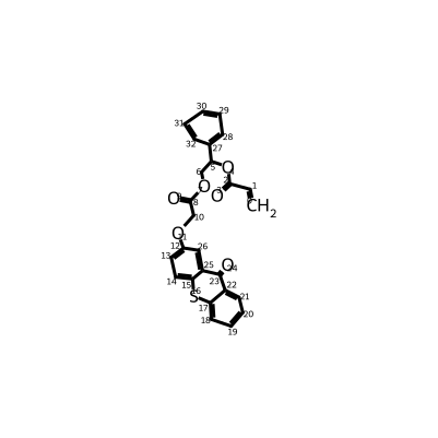 C=CC(=O)OC(COC(=O)COc1ccc2sc3ccccc3c(=O)c2c1)c1ccccc1